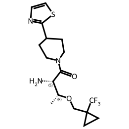 C[C@@H](OCC1(C(F)(F)F)CC1)[C@H](N)C(=O)N1CCC(c2nccs2)CC1